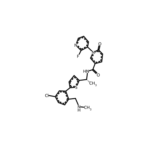 CNCc1ccc(Cl)cc1-c1ccc([C@@H](C)NC(=O)c2ccc(=O)n(-c3cccnc3F)c2)s1